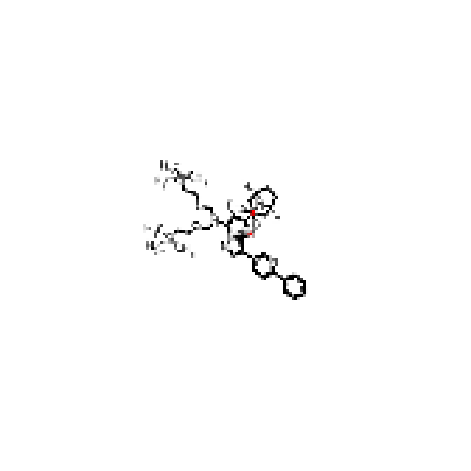 CC(C)(C)OC(=O)N1[C@@H]2CC[C@H]1C[C@@H](c1nc3c(-c4ccc(-c5ccccc5)nc4)cnn3c(N(COCC[Si](C)(C)C)COCC[Si](C)(C)C)c1F)C2